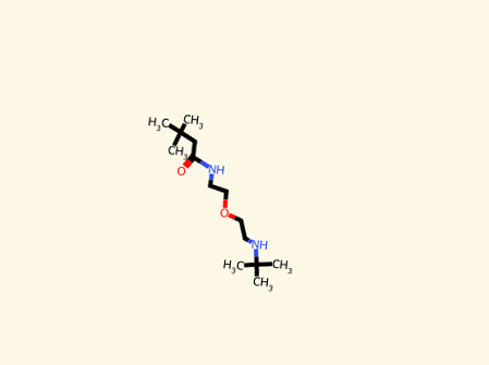 CC(C)(C)CC(=O)NCCOCCNC(C)(C)C